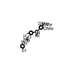 CCc1ccc2sc(NC(=O)COc3cc(C4CC(c5cc(OC)c(OC)c(OC)c5)=NN4C(C)=O)ccc3C)nc2c1